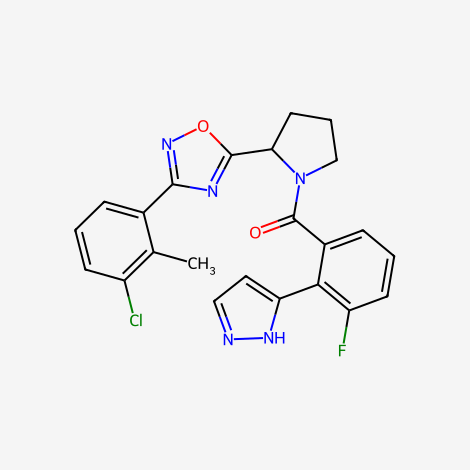 Cc1c(Cl)cccc1-c1noc(C2CCCN2C(=O)c2cccc(F)c2-c2ccn[nH]2)n1